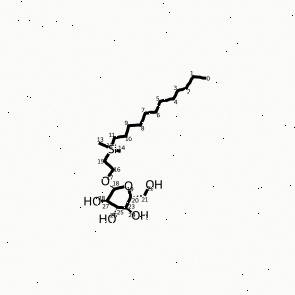 CCCCCCCCCCCC[Si](C)(C)CCO[C@@H]1O[C@H](CO)[C@@H](O)[C@H](O)[C@H]1O